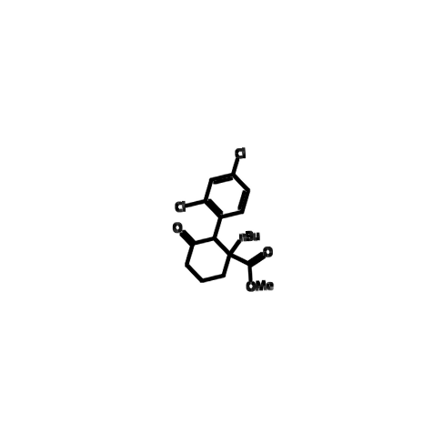 CCCCC1(C(=O)OC)CCCC(=O)C1c1ccc(Cl)cc1Cl